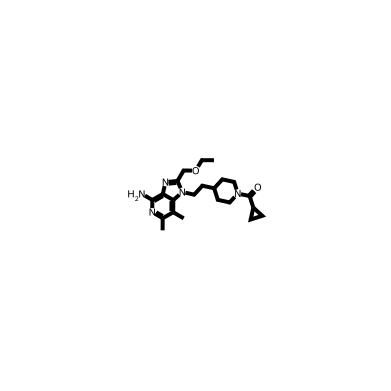 CCOCc1nc2c(N)nc(C)c(C)c2n1CCC1CCN(C(=O)C2CC2)CC1